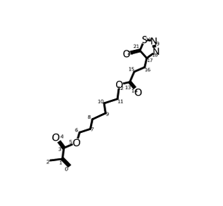 C=C(C)C(=O)OCCCCCCOC(=O)CCC1N=NSC1=O